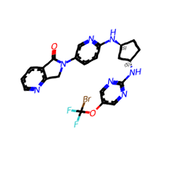 O=C1c2cccnc2CN1c1ccc(N[C@H]2CC[C@H](Nc3ncc(OC(F)(F)Br)cn3)C2)nc1